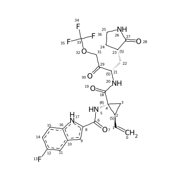 C=C[C@@H]1C[C@]1(NC(=O)c1cc2cc(F)ccc2[nH]1)C(=O)N[C@@H](C[C@@H]1CCNC1=O)C(=O)COC(F)(F)F